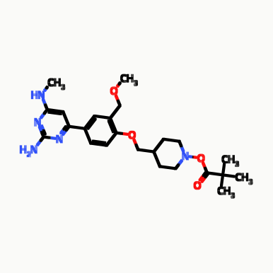 CNc1cc(-c2ccc(OCC3CCN(OC(=O)C(C)(C)C)CC3)c(COC)c2)nc(N)n1